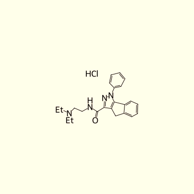 CCN(CC)CCNC(=O)c1nn(-c2ccccc2)c2c1Cc1ccccc1-2.Cl